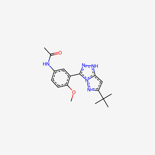 COc1ccc(NC(C)=O)cc1-c1n[nH]c2cc(C(C)(C)C)nn12